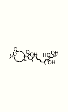 CC(=CC=CC(C)=C[C@@H](O)[C@@H](O)C[C@H](C)O)C=C(C)C=C(C(=O)O)[C@H]1CCCC(=O)O[C@@H](C(C)C)CC=CC[C@@H]1C